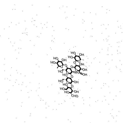 CC(=O)N[C@H]1[C@H](O[C@H]2[C@@H](O)[C@@H](CO)O[C@@H](O[C@@H]([C@H](O)[C@@H](O)C=O)[C@H](O)CO)[C@@H]2O)O[C@H](CO)[C@@H](O[C@@H]2O[C@@H](C)[C@@H](O)[C@@H](O)[C@@H]2O)[C@@H]1O[C@@H]1O[C@H](CO)[C@H](O)[C@H](O)[C@H]1O[C@@H]1O[C@@H](C)[C@@H](O)[C@@H](O)[C@@H]1O